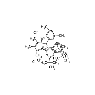 CC1=C(C)[C]([Ti+3])(C([SiH2]c2cccc([Si](C)(C)C)c2)c2cc(C)cc(C)c2)C(c2cc(C(C)(C)C)cc(C(C)(C)C)c2)=C1C.[Cl-].[Cl-].[Cl-]